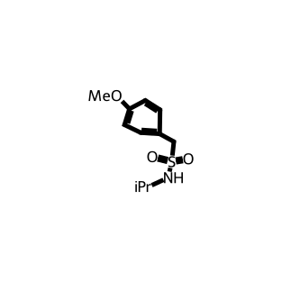 COc1ccc(CS(=O)(=O)NC(C)C)cc1